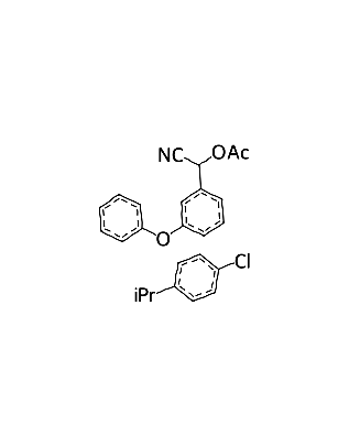 CC(=O)OC(C#N)c1cccc(Oc2ccccc2)c1.CC(C)c1ccc(Cl)cc1